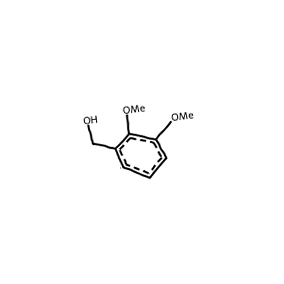 COc1cc[c]c(CO)c1OC